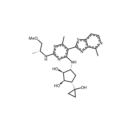 COC[C@@H](C)Nc1nc(C)c(-c2nc3c(C)nccc3s2)c(N[C@@H]2C[C@H](C3(O)CC3)[C@@H](O)[C@H]2O)n1